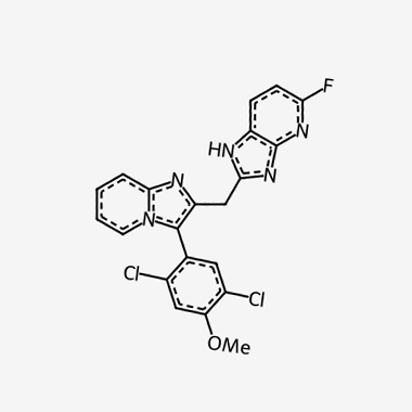 COc1cc(Cl)c(-c2c(Cc3nc4nc(F)ccc4[nH]3)nc3ccccn23)cc1Cl